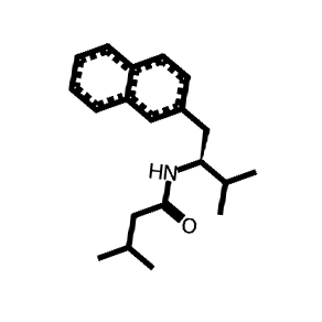 CC(C)CC(=O)N[C@@H](Cc1ccc2ccccc2c1)C(C)C